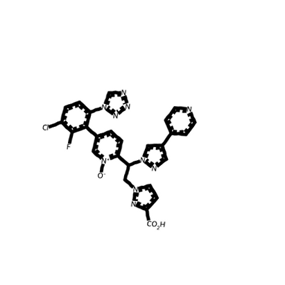 O=C(O)c1ccn(CC(c2ccc(-c3c(-n4cnnn4)ccc(Cl)c3F)c[n+]2[O-])n2cc(-c3ccncc3)cn2)n1